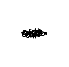 C=CO[C@H]1CC[C@H]2[C@@H]3CC=C4C(F)(F)[C@@H](OC5CCCCO5)CC[C@]4(C)[C@H]3CC[C@]12C